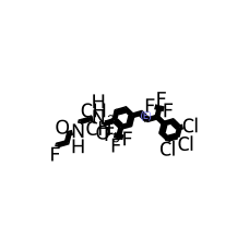 CC(C)(CNC(=O)CCF)NC(=O)c1ccc(/C=C/C(c2cc(Cl)c(Cl)c(Cl)c2)C(F)(F)F)cc1C(F)(F)F